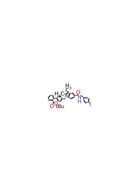 Cc1c(C)n(Cc2ccc(-c3ccccc3C(=O)OC(C)(C)C)cc2)c2ccc(C(=O)NCc3ccc(I)cc3)cc12